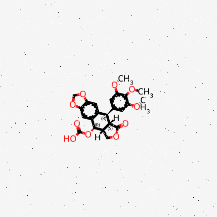 COc1cc([C@@H]2c3cc4c(cc3[C@H](OC(=O)O)[C@H]3COC(=O)[C@@H]23)OCO4)cc(OC)c1OC